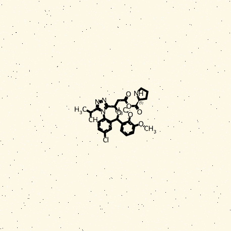 COc1cccc(C2OC(CC(=O)OC(=O)[C@@H]3CCCN3)c3nnc(C(C)C)n3-c3ccc(Cl)cc32)c1OC